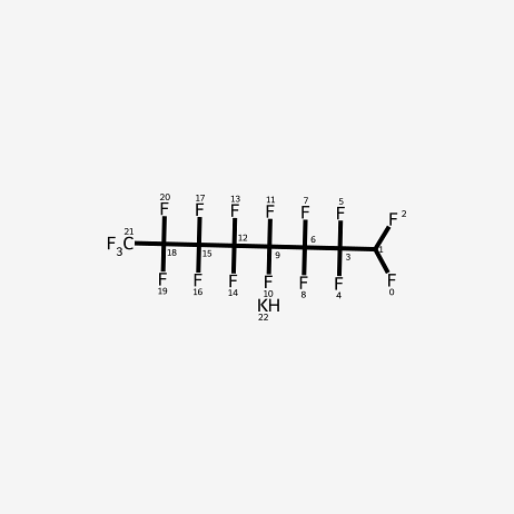 FC(F)C(F)(F)C(F)(F)C(F)(F)C(F)(F)C(F)(F)C(F)(F)C(F)(F)F.[KH]